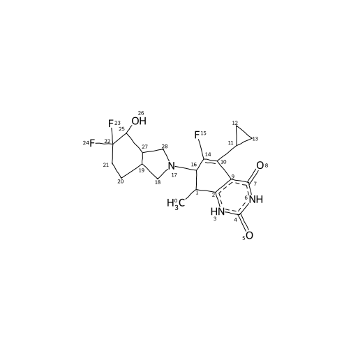 CC1c2[nH]c(=O)[nH]c(=O)c2C(C2CC2)=C(F)C1N1CC2CCC(F)(F)C(O)C2C1